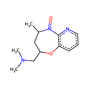 CC1CC(CN(C)C)Oc2cccnc2[N+]1=O